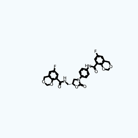 O=C(NC[C@@H]1CN(c2ccc(NC(=O)c3cc(F)cc4c3OCOC4)cc2)C(=O)O1)c1cc(F)cc2c1OCOC2